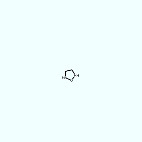 [CH]1CNON1